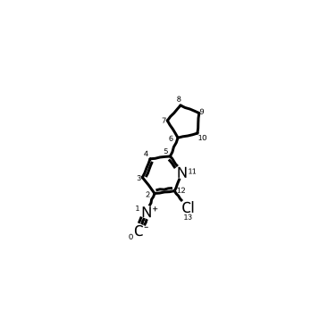 [C-]#[N+]c1ccc(C2CCCC2)nc1Cl